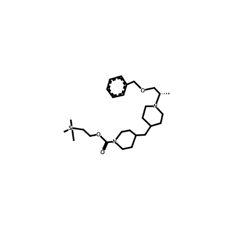 C[C@@H](COCc1ccccc1)N1CCC(CC2CCN(C(=O)OCC[Si](C)(C)C)CC2)CC1